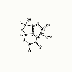 CCN1CC2(C)CC(C)(O)c3cc(=O)c(OC)c(n32)C1=O